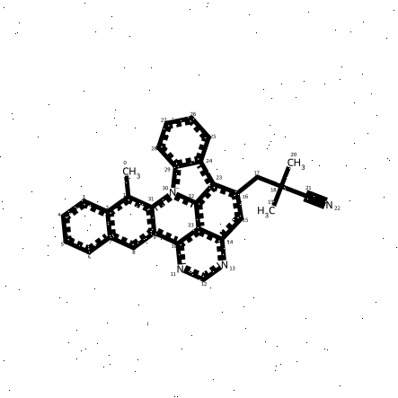 Cc1c2ccccc2cc2c3ncnc4cc(CC(C)(C)C#N)c5c6ccccc6n(c12)c5c43